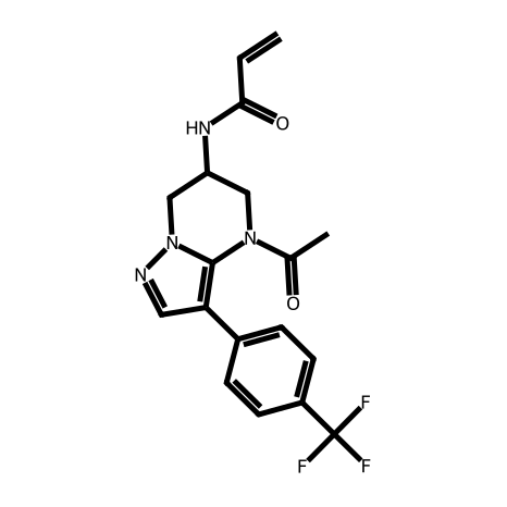 C=CC(=O)NC1CN(C(C)=O)c2c(-c3ccc(C(F)(F)F)cc3)cnn2C1